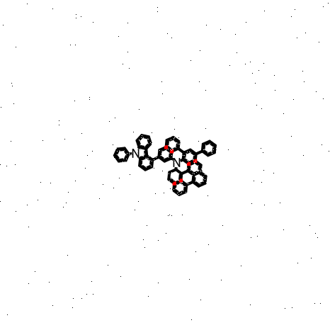 C1=CCC(N(c2cccc(-c3cccc4c3c3ccccc3n4-c3ccccc3)c2)c2ccc(-c3ccccc3)cc2-c2ccccc2)C(c2cccc3cccc(-c4ccccc4)c23)=C1